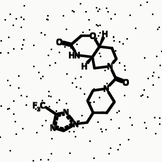 O=C1CO[C@@H]2CCN(C(=O)N3CCC(Cn4cnc(C(F)(F)F)n4)CC3)C[C@@H]2N1